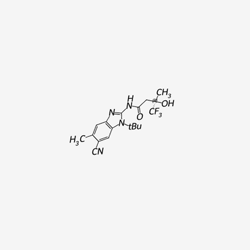 Cc1cc2nc(NC(=O)C[C@@](C)(O)C(F)(F)F)n(C(C)(C)C)c2cc1C#N